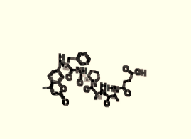 Cc1cc(=O)oc2cc(N[C@@H](Cc3ccccc3)C(=O)NC(=O)[C@@H]3CCCN3C(=O)[C@H](C)NC(=O)[C@H](C)NC(=O)CCC(=O)O)ccc12